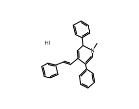 CN1C=C(c2ccccc2)C(C=Cc2ccccc2)=CC1c1ccccc1.I